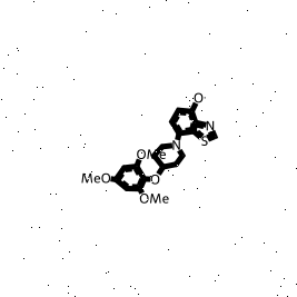 COc1cc(OC)c(OC2CCN(c3ccc([O])c4ncsc34)CC2)c(OC)c1